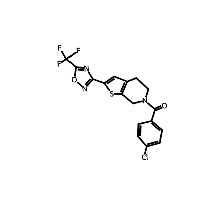 O=C(c1ccc(Cl)cc1)N1CCc2cc(-c3noc(C(F)(F)F)n3)sc2C1